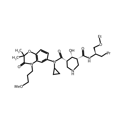 CCOC[C@@H](CC(C)C)NC(=O)[C@@H]1CNC[C@H](C(=O)N(c2ccc3c(c2)N(CCCOC)C(=O)C(C)(C)O3)C2CC2)[C@@H]1O